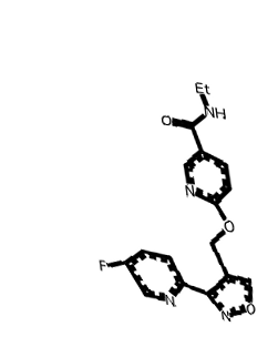 CCNC(=O)c1ccc(OCc2conc2-c2ccc(F)cn2)nc1